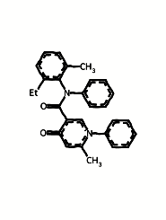 CCc1cccc(C)c1N(C(=O)c1cn(-c2ccccc2)c(C)cc1=O)c1ccccc1